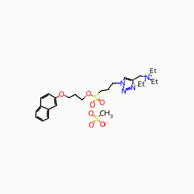 CC[N+](CC)(CC)Cc1cn(CCCS(=O)(=O)OCCCOc2ccc3ccccc3c2)nn1.CS(=O)(=O)[O-]